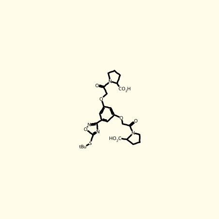 CC(C)(C)Sc1nc(-c2cc(OCC(=O)N3CCCC3C(=O)O)cc(OCC(=O)N3CCCC3C(=O)O)c2)no1